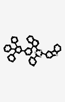 c1ccc(-c2nc(-c3ccc4oc5ccccc5c4c3)nc(-c3ccc4ccccc4c3-c3cccc(-c4cc(-c5ccccc5)c(-c5ccccc5)c(-c5ccccc5)c4)c3)n2)cc1